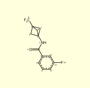 O=C(NC12CC(C(F)(F)F)(C1)C2)c1cccc(F)c1